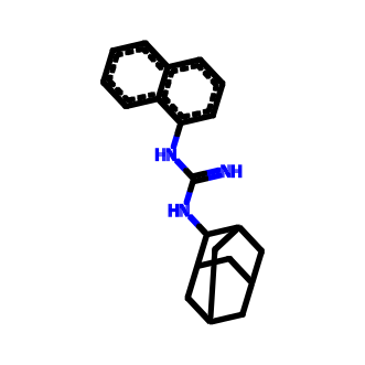 N=C(Nc1cccc2ccccc12)NC1C2CC3CC(C2)CC1C3